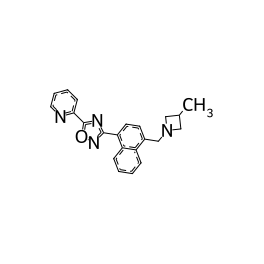 CC1CN(Cc2ccc(-c3noc(-c4ccccn4)n3)c3ccccc23)C1